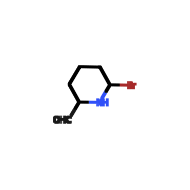 O=CC1CCCC(Br)N1